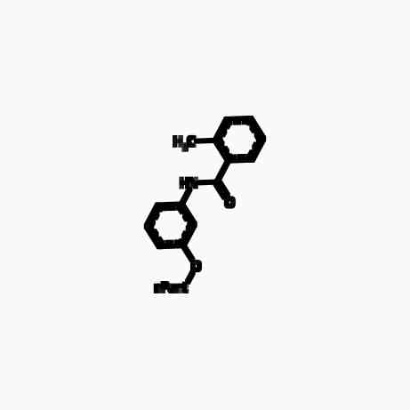 CCCCCOc1cccc(NC(=O)c2ccccc2C)c1